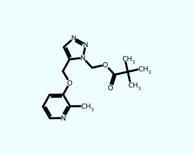 Cc1ncccc1OCc1cnnn1COC(=O)C(C)(C)C